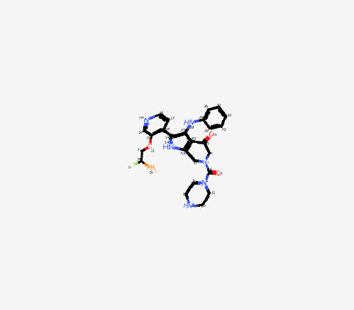 O=C1CN(C(=O)N2CCNCC2)Cc2[nH]c(-c3ccncc3OCC(F)P)c(Nc3ccccc3)c21